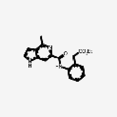 CCOC(=O)Cc1ccccc1NC(=O)c1cc2[nH]ccc2c(C)n1